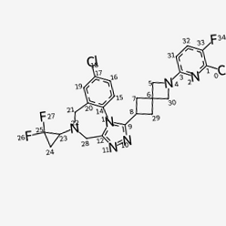 N#Cc1nc(N2CC3(CC(c4nnc5n4-c4ccc(Cl)cc4CN(C4CC4(F)F)C5)C3)C2)ccc1F